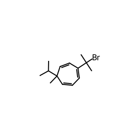 CC(C)C1(C)C=CC=C(C(C)(C)Br)C=C1